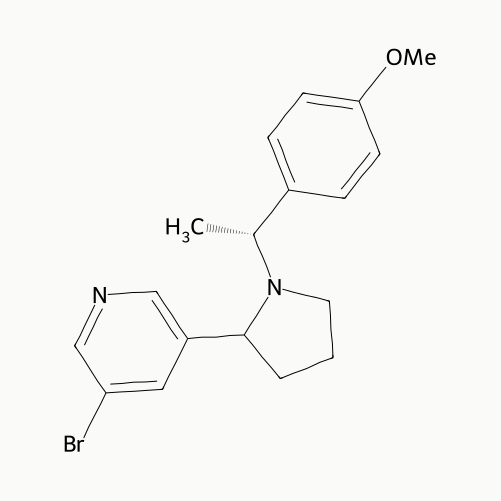 COc1ccc([C@@H](C)N2CCCC2c2cncc(Br)c2)cc1